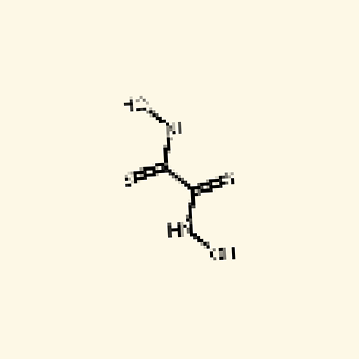 ONC(=S)C(=S)NO